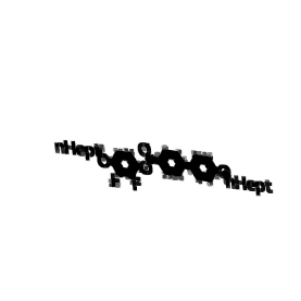 CCCCCCCOc1ccc(-c2ccc(C(=O)Oc3ccc(OCCCCCCC)c(F)c3F)cc2)cc1